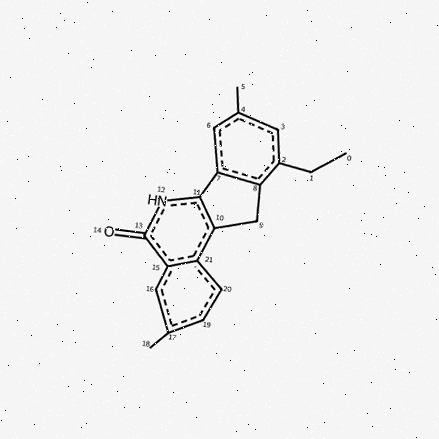 CCc1cc(C)cc2c1Cc1c-2[nH]c(=O)c2cc(C)ccc12